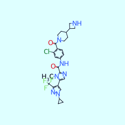 Cn1c(-c2cn(C3CC3)nc2C(F)(F)F)cnc1C(=O)Nc1ccc(C(=O)N2CCC(C3CNC3)CC2)c(Cl)c1